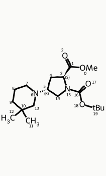 COC(=O)[C@@H]1C[C@@H](N2CCCC(C)(C)C2)CN1C(=O)OC(C)(C)C